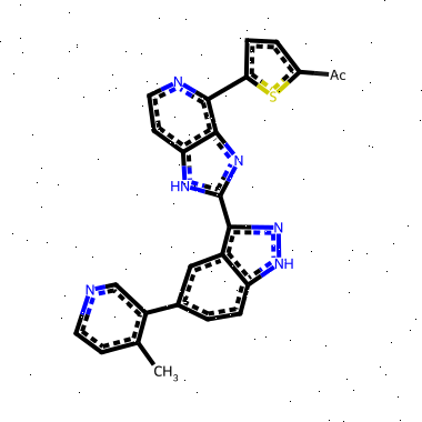 CC(=O)c1ccc(-c2nccc3[nH]c(-c4n[nH]c5ccc(-c6cnccc6C)cc45)nc23)s1